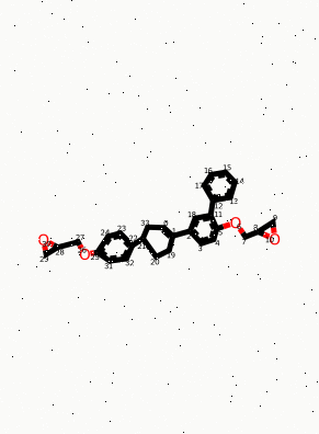 C1=C(c2ccc(OCC3CO3)c(-c3ccccc3)c2)CCC(c2ccc(OCC3CO3)cc2)C1